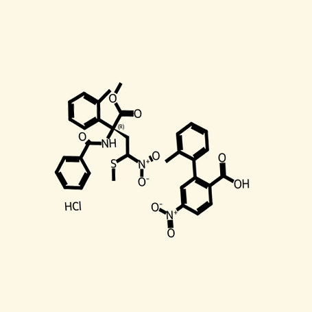 COC(=O)[C@](CC(SC)[N+](=O)[O-])(NC(=O)c1ccccc1)c1ccccc1C.Cc1ccccc1-c1cc([N+](=O)[O-])ccc1C(=O)O.Cl